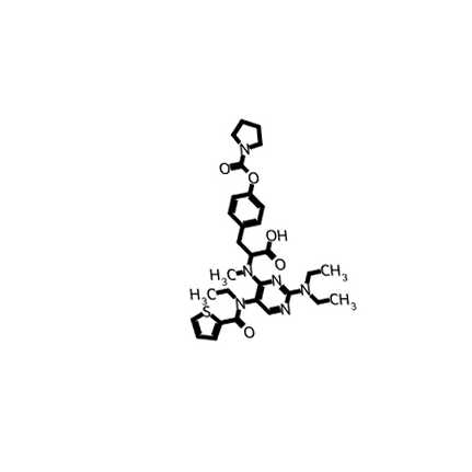 CCN(CC)c1ncc(N(CC)C(=O)c2cccs2)c(N(C)C(Cc2ccc(OC(=O)N3CCCC3)cc2)C(=O)O)n1